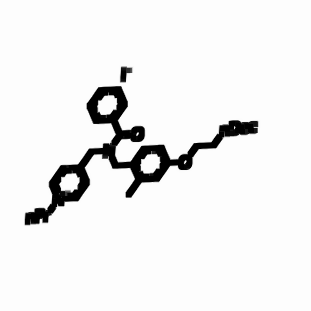 CCCCCCCCCCCCOc1ccc(CN(Cc2cc[n+](CCC)cc2)C(=O)c2ccccc2)c(C)c1.[I-]